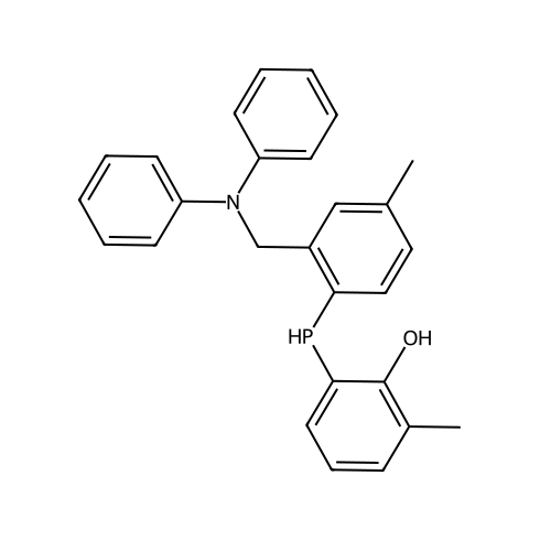 Cc1ccc(Pc2cccc(C)c2O)c(CN(c2ccccc2)c2ccccc2)c1